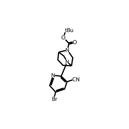 CC(C)(C)OC(=O)N1CC2CCC1CN2c1ncc(Br)cc1C#N